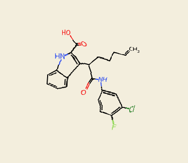 C=CCCCC(C(=O)Nc1ccc(F)c(Cl)c1)c1c(C(=O)O)[nH]c2ccccc12